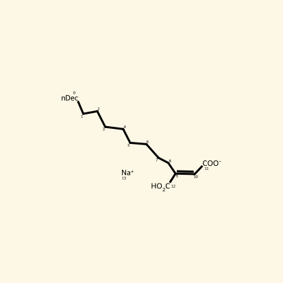 CCCCCCCCCCCCCCCCCC/C(=C\C(=O)[O-])C(=O)O.[Na+]